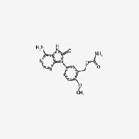 COc1ccc(-n2c(=O)[nH]c3c(N)ncnc32)cc1COC(N)=O